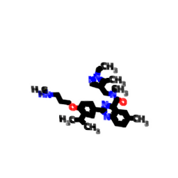 CCn1ncc(CN(C)C(=O)c2nc(-c3ccc(OCCCNC)c(C(C)C)c3)nc3ccc(C)cc23)c1C